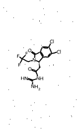 N=C(N)NC(=O)C[C@@H]1c2cc(Cl)c(Cl)cc2C(=O)N1CC(F)(F)F